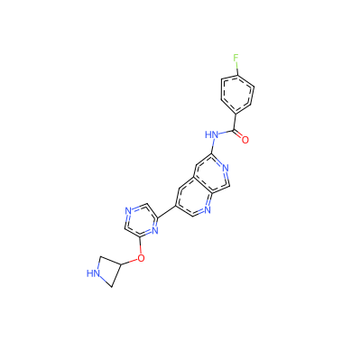 O=C(Nc1cc2cc(-c3cncc(OC4CNC4)n3)cnc2cn1)c1ccc(F)cc1